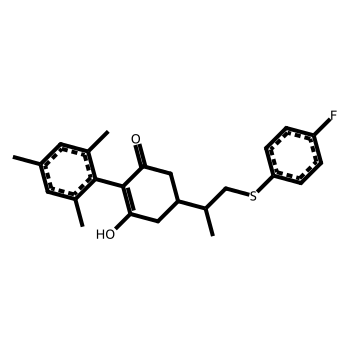 Cc1cc(C)c(C2=C(O)CC(C(C)CSc3ccc(F)cc3)CC2=O)c(C)c1